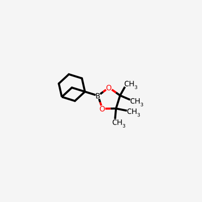 CC1(C)OB(C23CCCC(C2)C3)OC1(C)C